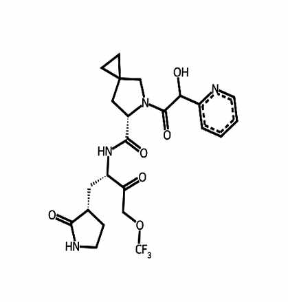 O=C1NCC[C@H]1C[C@H](NC(=O)[C@@H]1CC2(CC2)CN1C(=O)C(O)c1ccccn1)C(=O)COC(F)(F)F